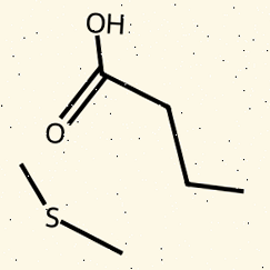 CCCC(=O)O.CSC